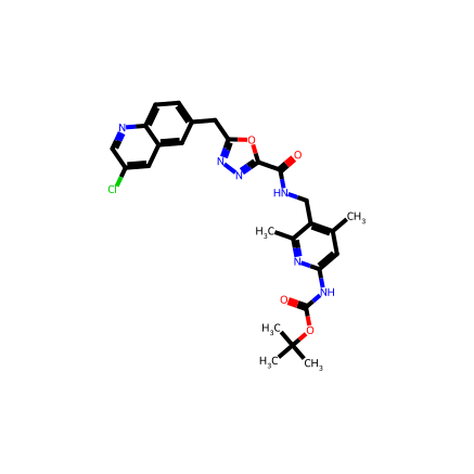 Cc1cc(NC(=O)OC(C)(C)C)nc(C)c1CNC(=O)c1nnc(Cc2ccc3ncc(Cl)cc3c2)o1